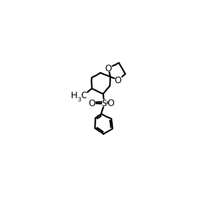 CC1CCC2(CC1S(=O)(=O)c1ccccc1)OCCO2